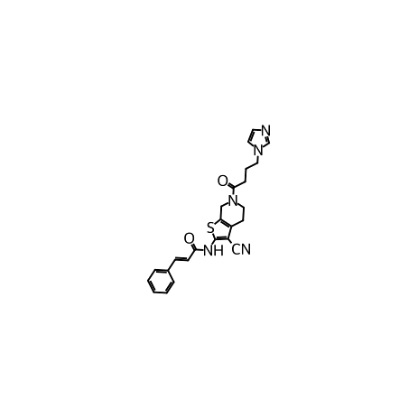 N#Cc1c(NC(=O)C=Cc2ccccc2)sc2c1CCN(C(=O)CCCn1ccnc1)C2